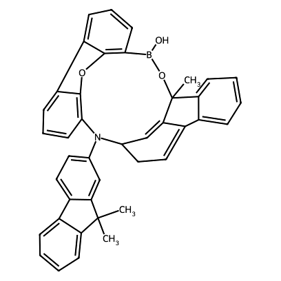 CC12OB(O)c3cccc4c3oc3c(cccc34)N(c3ccc4c(c3)C(C)(C)c3ccccc3-4)C3C=C1C(=CC3)c1ccccc12